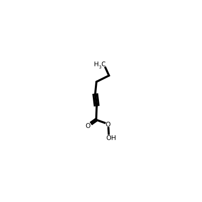 CCCC#CC(=O)OO